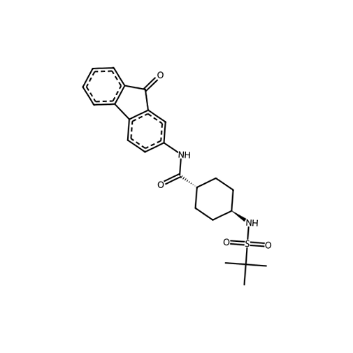 CC(C)(C)S(=O)(=O)N[C@H]1CC[C@H](C(=O)Nc2ccc3c(c2)C(=O)c2ccccc2-3)CC1